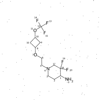 NC1CCN(CCOC2CC(OC(F)(F)F)C2)CC1(F)F